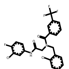 O=C(CN(Cc1ccccc1Cl)C(=O)c1cccc(C(F)(F)F)c1)Nc1ccc(F)c(Cl)c1